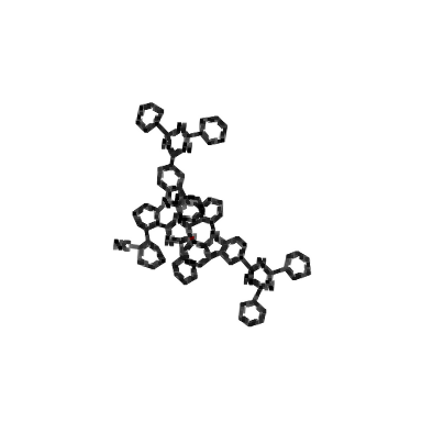 N#Cc1ccccc1-c1cccc(-n2c3ccccc3c3cc(-c4nc(-c5ccccc5)nc(-c5ccccc5)n4)ccc32)c1-c1nc(-c2ccccc2)nc(-c2c(-n3c4ccccc4c4cc(-c5nc(-c6ccccc6)nc(-c6ccccc6)n5)ccc43)cccc2C(F)(F)F)n1